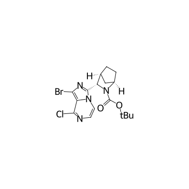 CC(C)(C)OC(=O)N1[C@@H]2CC[C@@H](C2)[C@H]1c1nc(Br)c2c(Cl)nccn12